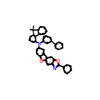 CC1(C)c2ccccc2-c2c(N(c3cccc(-c4ccccc4)c3)c3ccc4oc5cc6nc(-c7ccccc7)oc6cc5c4c3)cccc21